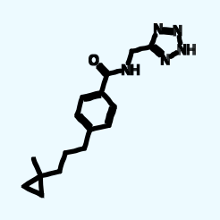 CC1(CCCc2ccc(C(=O)NCc3nn[nH]n3)cc2)CC1